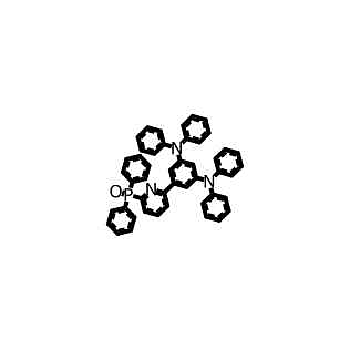 O=P(c1ccccc1)(c1ccccc1)c1cccc(-c2cc(N(c3ccccc3)c3ccccc3)cc(N(c3ccccc3)c3ccccc3)c2)n1